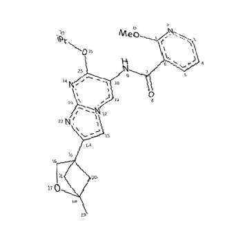 COc1ncccc1C(=O)Nc1cn2cc(C34COC(C)(C3)C4)nc2nc1OC(C)C